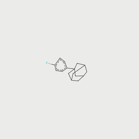 Fc1ccc(C23CC4CC(CC(C4)C2)C3)cc1